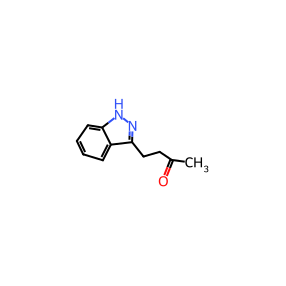 CC(=O)CCc1n[nH]c2ccccc12